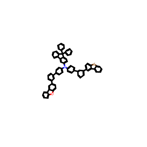 c1ccc(C2(c3ccccc3)c3ccccc3-c3cc(N(c4ccc(-c5cccc(-c6ccc7oc8ccccc8c7c6)c5)cc4)c4ccc(-c5cccc(-c6ccc7sc8ccccc8c7c6)c5)cc4)ccc32)cc1